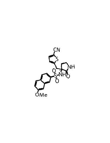 COc1ccc2ccc(S(=O)(=O)N[C@]3(Cc4ccc(C#N)s4)CCNC3=O)cc2c1